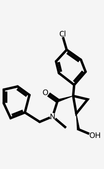 CN(Cc1ccccc1)C(=O)[C@@]1(c2ccc(Cl)cc2)C[C@H]1CO